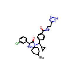 CC(C)(C)C1CCC2(CC1)NC(c1cccc(Cl)c1)C(=O)N2C(c1ccc(C(=O)NCCc2nn[nH]n2)cc1)C1CC1